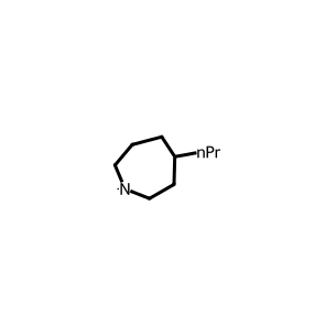 CCCC1CCC[N]CC1